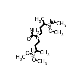 CO[SiH](OC)C(C)CCN(CCC(C)[SiH](OC)OC)C(N)=O